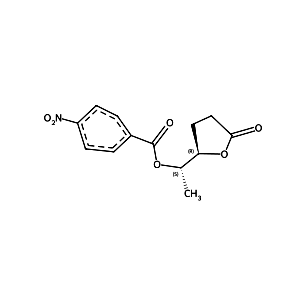 C[C@H](OC(=O)c1ccc([N+](=O)[O-])cc1)[C@H]1CCC(=O)O1